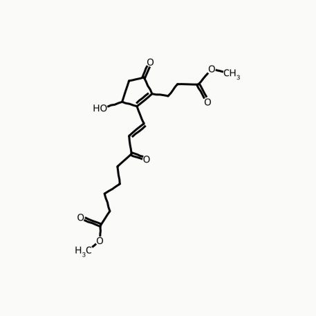 COC(=O)CCCCC(=O)C=CC1=C(CCC(=O)OC)C(=O)CC1O